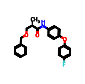 C[C@@H](COCc1ccccc1)C(=O)Nc1ccc(Oc2ccc(F)cc2)cc1